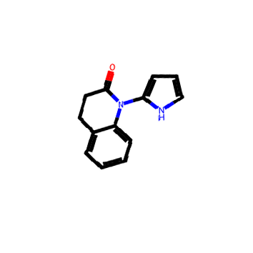 O=C1CCc2ccccc2N1c1ccc[nH]1